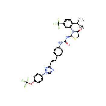 CC(C)c1ccc(C(F)(F)F)cc1N1C(=O)CSC1=NC(=O)Nc1ccc(C=Cc2ncn(-c3ccc(OC(F)(F)F)cc3)n2)cc1